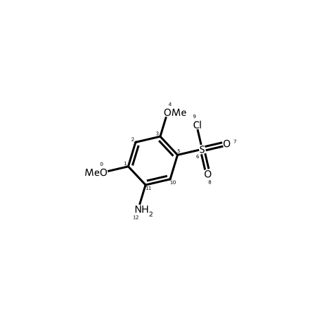 COc1cc(OC)c(S(=O)(=O)Cl)cc1N